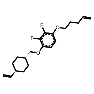 C=CCCCOc1ccc(OC[C@H]2CC[C@H](C=C)CC2)c(F)c1F